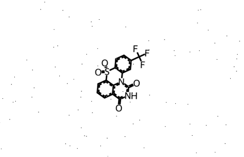 O=c1[nH]c(=O)n2c3c(cccc13)S(=O)(=O)c1ccc(C(F)(F)F)cc1-2